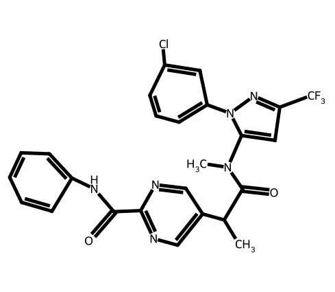 CC(C(=O)N(C)c1cc(C(F)(F)F)nn1-c1cccc(Cl)c1)c1cnc(C(=O)Nc2ccccc2)nc1